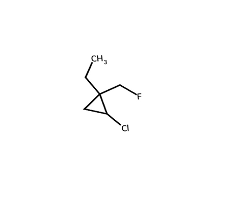 CCC1(CF)CC1Cl